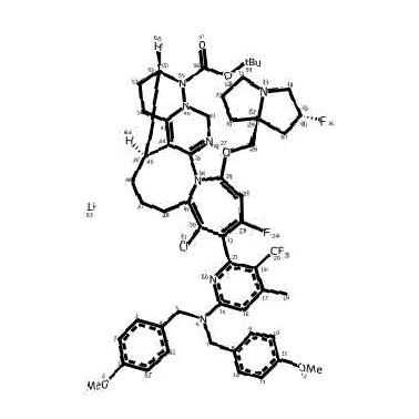 COc1ccc(CN(Cc2ccc(OC)cc2)c2cc(C)c(C(F)(F)F)c(C3=C(F)C=C(OC[C@@]45CCCN4C[C@H](F)C5)N4C5=NCN6C7=C5[C@@H](CCCC4=C3Cl)[C@H](CC7)N6C(=O)OC(C)(C)C)n2)cc1.[Li]